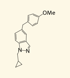 COc1ccc(Cc2ccc3c(cnn3CC3CC3)c2)cc1